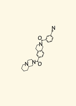 N#Cc1cccc(C(=O)N2CCc3cc(C(=O)N4CCN5CCCCC5C4)ccc3C2)c1